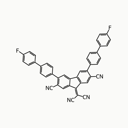 N#CC(C#N)=C1c2cc(C#N)c(-c3ccc(-c4ccc(F)cc4)cc3)cc2-c2cc(-c3ccc(-c4ccc(F)cc4)cc3)c(C#N)cc21